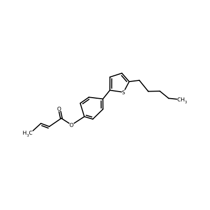 CC=CC(=O)Oc1ccc(-c2ccc(CCCCC)s2)cc1